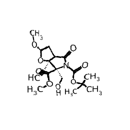 C#C[C@]12O[C@@H](OC)CC1C(=O)N(C(=O)OC(C)(C)C)[C@@]2(CO)C(=O)OC